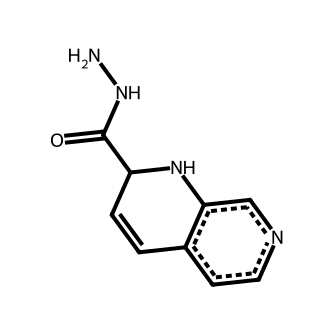 NNC(=O)C1C=Cc2ccncc2N1